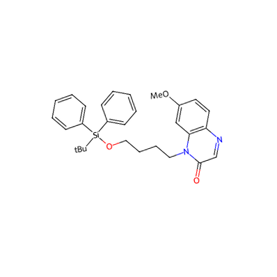 COc1ccc2ncc(=O)n(CCCCO[Si](c3ccccc3)(c3ccccc3)C(C)(C)C)c2c1